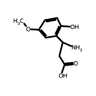 COc1ccc(O)c(C(N)CC(=O)O)c1